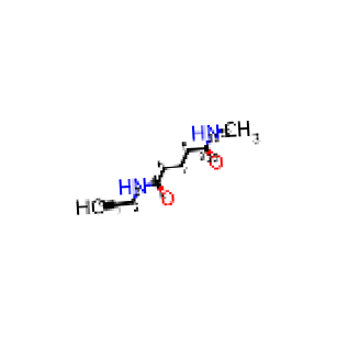 C#CCNC(=O)CCCC(=O)NC